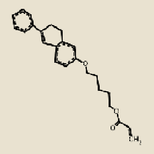 C=CC(=O)OCCCCCOc1ccc2c(c1)CCC(c1ccccc1)=C2